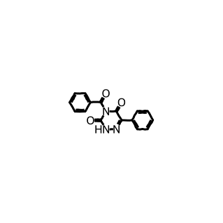 O=C(c1ccccc1)n1c(=O)[nH]nc(-c2ccccc2)c1=O